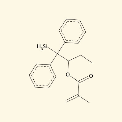 C=C(C)C(=O)OC(CC)C([SiH3])(c1ccccc1)c1ccccc1